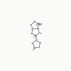 C1CC2CN(C3CCOC3)CC2N1